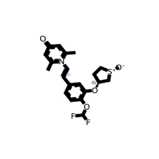 Cc1cc(=O)cc(C)n1/C=C/c1ccc(OC(F)F)c(O[C@H]2CC[S+]([O-])C2)c1